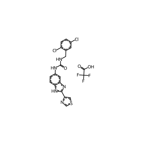 O=C(NCc1cc(Cl)ccc1Cl)Nc1ccc2[nH]c(-c3cscn3)nc2c1.O=C(O)C(F)(F)F